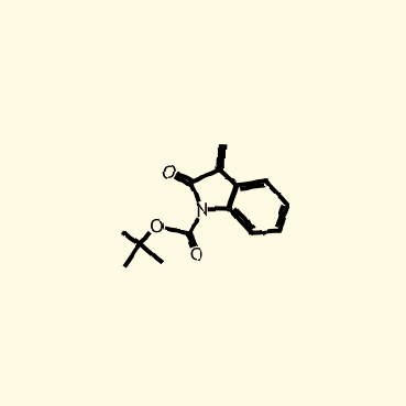 C=C1C(=O)N(C(=O)OC(C)(C)C)c2ccccc21